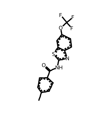 Cc1ccc(C(=O)Nc2nc3ccc(OC(F)(F)F)cc3s2)cc1